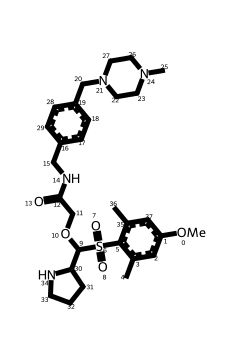 COc1cc(C)c(S(=O)(=O)C(OCC(=O)NCc2ccc(CN3CCN(C)CC3)cc2)C2CCCN2)c(C)c1